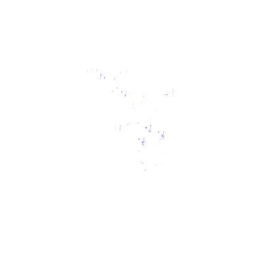 CCCCCNC(=O)C(=O)NCc1cc(C)cc(-n2nc3ccccc3n2)c1O